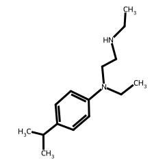 CCNCCN(CC)c1ccc(C(C)C)cc1